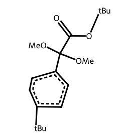 COC(OC)(C(=O)OC(C)(C)C)c1ccc(C(C)(C)C)cc1